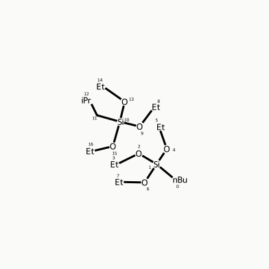 CCCC[Si](OCC)(OCC)OCC.CCO[Si](CC(C)C)(OCC)OCC